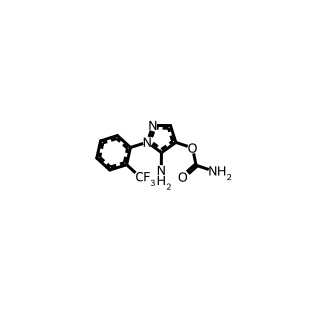 NC(=O)Oc1cnn(-c2ccccc2C(F)(F)F)c1N